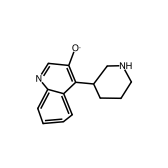 [O]c1cnc2ccccc2c1C1CCCNC1